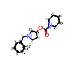 O=C(OC1CCN(Cc2ccccc2F)C1)N1CCCCC1